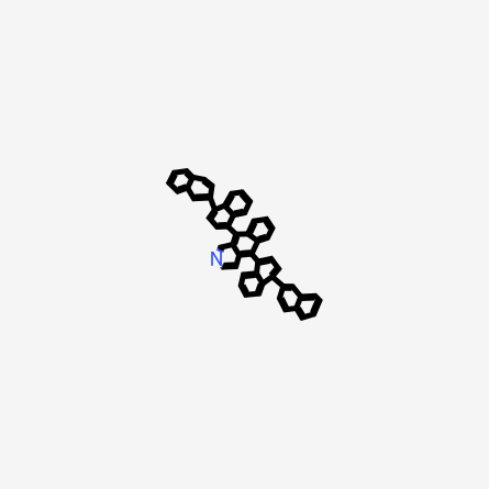 c1ccc2cc(-c3ccc(-c4c5ccccc5c(-c5ccc(-c6ccc7ccccc7c6)c6ccccc56)c5cnccc45)c4ccccc34)ccc2c1